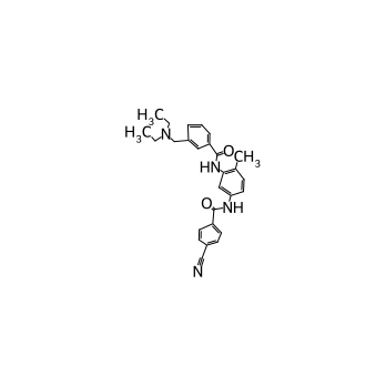 CCN(CC)Cc1cccc(C(=O)Nc2cc(NC(=O)c3ccc(C#N)cc3)ccc2C)c1